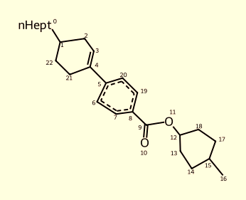 CCCCCCCC1CC=C(c2ccc(C(=O)OC3CCC(C)CC3)cc2)CC1